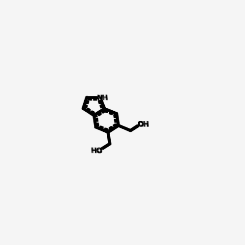 OCc1cc2cc[nH]c2cc1CO